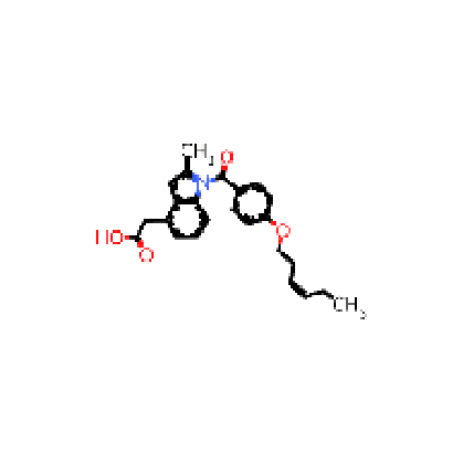 CC/C=C\CCOc1ccc(C(=O)n2c(C)cc3c(CC(=O)O)cccc32)cc1